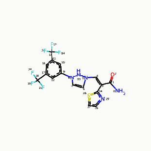 NC(=O)/C(=C/N1C=CN(c2cc(C(F)(F)F)cc(C(F)(F)F)c2)N1)c1nccs1